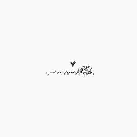 CCCCCCCCCCCCCCCCCC(=O)NC(CC)[N+](C)(C)C(C)O.O=[N+]([O-])[O-]